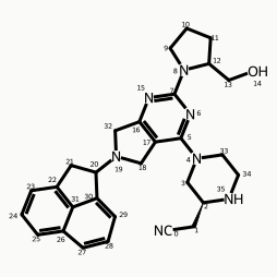 N#CC[C@H]1CN(c2nc(N3CCCC3CO)nc3c2CN(C2Cc4cccc5cccc2c45)C3)CCN1